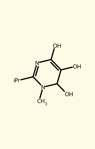 CC(C)C1=NC(O)=C(O)C(O)N1C